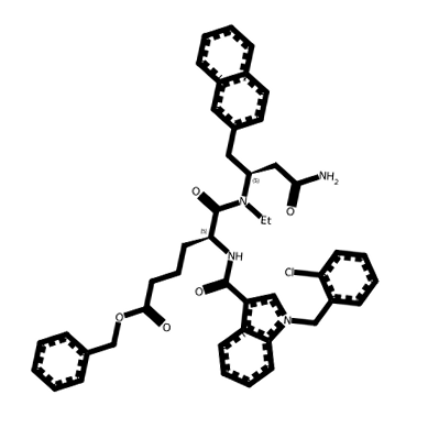 CCN(C(=O)[C@H](CCCC(=O)OCc1ccccc1)NC(=O)c1cn(Cc2ccccc2Cl)c2ccccc12)[C@H](CC(N)=O)Cc1ccc2ccccc2c1